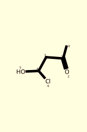 CC(=O)CC(O)Cl